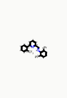 CC(C)c1cccc(C(C)C)c1/N=C/c1cccc(-c2ccccc2C(F)(F)F)n1